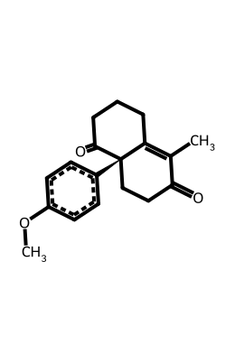 COc1ccc([C@]23CCC(=O)C(C)=C2CCCC3=O)cc1